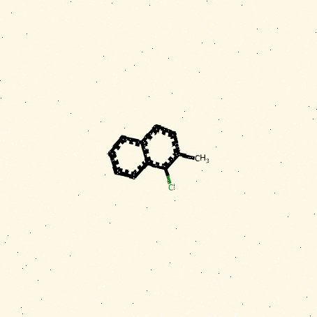 Cc1ccc2c[c]ccc2c1Cl